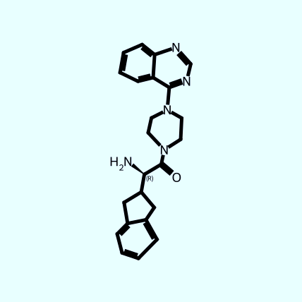 N[C@@H](C(=O)N1CCN(c2ncnc3ccccc23)CC1)C1Cc2ccccc2C1